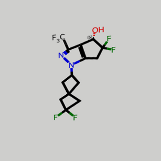 O[C@H]1c2c(C(F)(F)F)nn(C3CC4(C3)CC(F)(F)C4)c2CC1(F)F